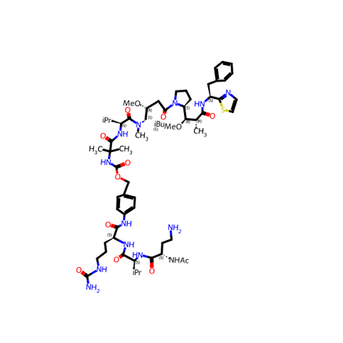 CC[C@H](C)[C@@H]([C@@H](CC(=O)N1CCC[C@H]1[C@H](OC)[C@@H](C)C(=O)N[C@@H](Cc1ccccc1)c1nccs1)OC)N(C)C(=O)[C@@H](NC(=O)C(C)(C)NC(=O)OCc1ccc(NC(=O)[C@H](CCCNC(N)=O)NC(=O)[C@@H](NC(=O)[C@H](CCN)NC(C)=O)C(C)C)cc1)C(C)C